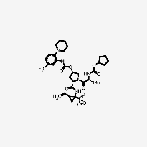 C=CC1CC1(NC(=O)[C@@H]1C[C@@H](OC(=O)Nc2cc(C(F)(F)F)ccc2N2CCCCC2)CN1C(=O)[C@@H](NC(=O)OC1CCCC1)C(C)(C)C)P1(=O)OO1